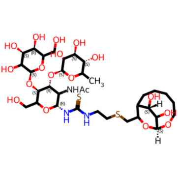 CC(=O)NC1[C@H](NC(=S)NCCSCC2O[C@@H]3OCCCCCC2[C@H](O)C3O)OC(CO)[C@@H](O[C@@H]2OC(CO)[C@H](O)[C@H](O)C2O)[C@@H]1O[C@@H]1OC(C)[C@@H](O)[C@H](O)C1O